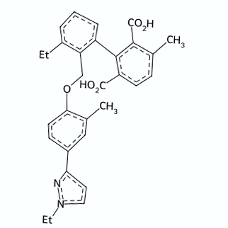 CCc1cccc(-c2c(C(=O)O)ccc(C)c2C(=O)O)c1COc1ccc(-c2ccn(CC)n2)cc1C